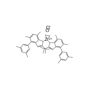 Cc1cc(C)cc(-c2c(C)cc(C)c3c2C=C(C(C)C)[CH]3[Zr+2]2([CH]3C(C(C)C)=Cc4c(-c5cc(C)cc(C)c5)c(C)cc(C)c43)[CH2][CH2]2)c1.[Cl-].[Cl-]